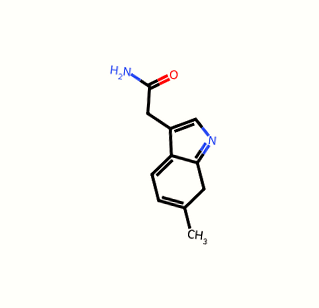 CC1=CC=C2C(CC(N)=O)=CN=C2C1